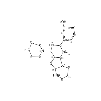 CN1C(c2cccc(O)c2)NC(N2CCOCC2)C2OC3NCCCC3C21